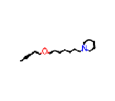 CC#CCCOCCCCCCCN1CCCCC1